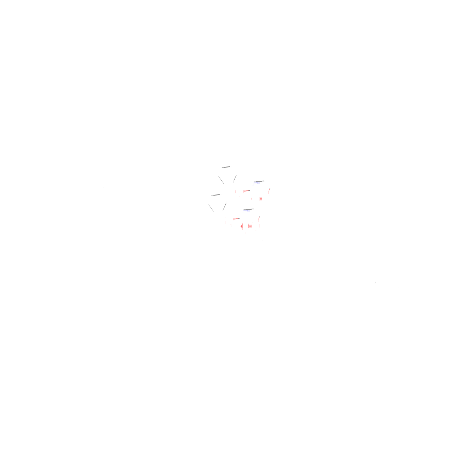 CCCCCCCCCCCCCCCCC[CH2][Sn+4][CH2]CCCCCCCCCCCCCCCCC.O=C([O-])/C=C(/Cc1ccccc1)C(=O)[O-].O=C([O-])/C=C(/Cc1ccccc1)C(=O)[O-]